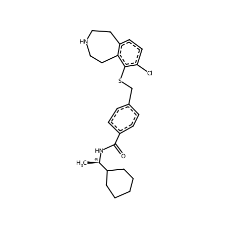 C[C@@H](NC(=O)c1ccc(CSc2c(Cl)ccc3c2CCNCC3)cc1)C1CCCCC1